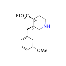 CCOC(=O)[C@H]1CCNC[C@H]1Cc1cccc(OC)c1